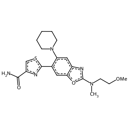 COCCN(C)c1nc2cc(N3CCCCC3)c(-c3nc(C(N)=O)cs3)cc2o1